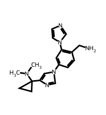 CN(C)C1(c2cn(-c3ccc(CN)c(-n4ccnc4)c3)cn2)CC1